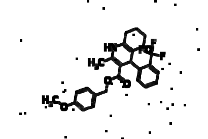 COc1ccc(COC(=O)C2=C(C)NC3=C(C(=O)CCC3)C2c2ccccc2C(F)(F)F)cc1